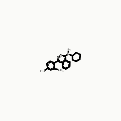 CCN(c1nnc(-c2ccc(O)cc2C)c2ccccc12)C1CCCCC1